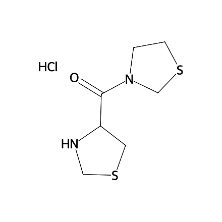 Cl.O=C(C1CSCN1)N1CCSC1